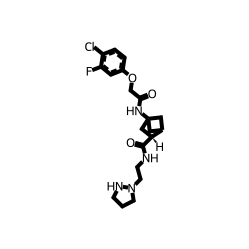 O=C(COc1ccc(Cl)c(F)c1)NC12CC(C1)[C@@H](C(=O)NCCN1CCCN1)C2